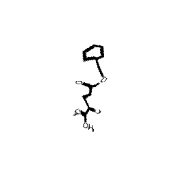 O=C(CCC(=O)C(=O)O)Oc1ccccc1